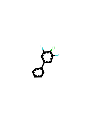 Fc1cc(-c2ccccc2)cc(F)c1Cl